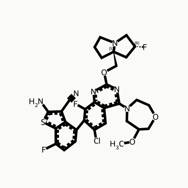 COC1COCCN(c2nc(OC[C@@]34CCCN3C[C@H](F)C4)nc3c(F)c(-c4ccc(F)c5sc(N)c(C#N)c45)c(Cl)cc23)C1